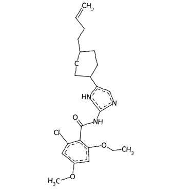 C=CCCC1CCC(c2cnc(NC(=O)c3c(Cl)cc(OC)cc3OCC)[nH]2)CC1